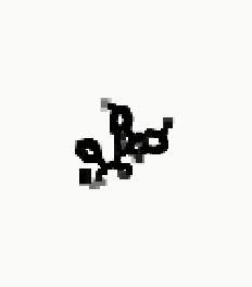 CC(C(=O)Nc1nc2ccc(F)cn2c1-c1ccc(F)cc1)c1ccccc1